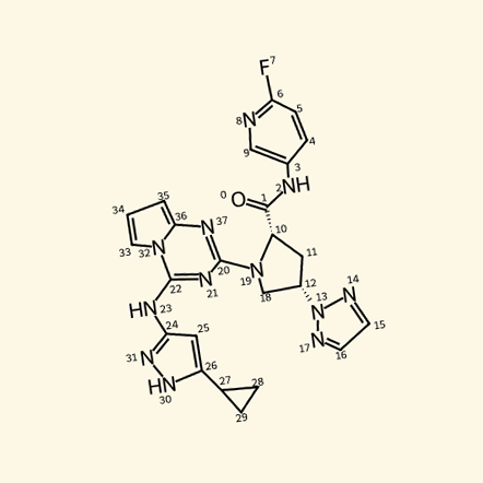 O=C(Nc1ccc(F)nc1)[C@@H]1C[C@H](n2nccn2)CN1c1nc(Nc2cc(C3CC3)[nH]n2)n2cccc2n1